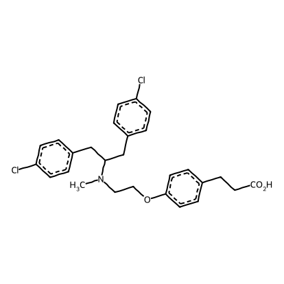 CN(CCOc1ccc(CCC(=O)O)cc1)C(Cc1ccc(Cl)cc1)Cc1ccc(Cl)cc1